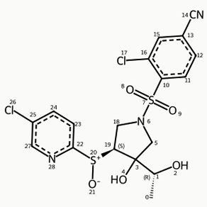 C[C@@H](O)C1(O)CN(S(=O)(=O)c2ccc(C#N)cc2Cl)C[C@@H]1[S+]([O-])c1ccc(Cl)cn1